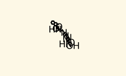 O=C(NO)c1cnc(N2CCN(CCCNS(=O)(=O)c3ccc4ccccc4c3)CC2)nc1